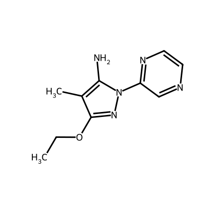 CCOc1nn(-c2cnccn2)c(N)c1C